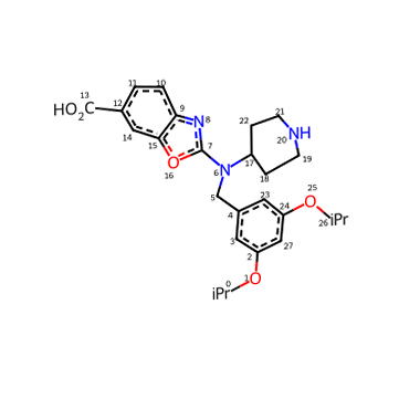 CC(C)Oc1cc(CN(c2nc3ccc(C(=O)O)cc3o2)C2CCNCC2)cc(OC(C)C)c1